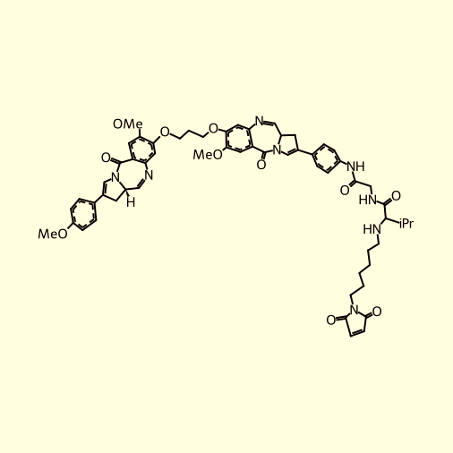 COc1ccc(C2=CN3C(=O)c4cc(OC)c(OCCCOc5cc6c(cc5OC)C(=O)N5C=C(c7ccc(NC(=O)CNC(=O)C(NCCCCCCN8C(=O)C=CC8=O)C(C)C)cc7)CC5C=N6)cc4N=C[C@@H]3C2)cc1